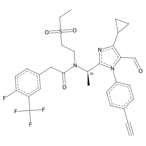 C#Cc1ccc(-n2c([C@@H](C)N(CCS(=O)(=O)CC)C(=O)Cc3ccc(F)c(C(F)(F)F)c3)nc(C3CC3)c2C=O)cc1